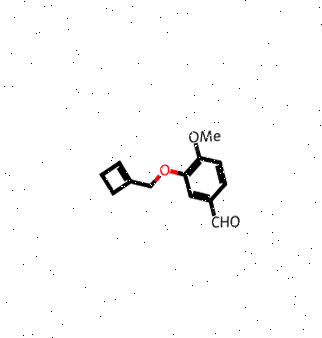 COc1ccc(C=O)cc1OCC1=CCC1